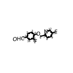 O=Cc1ccc(OCc2ccc(F)cn2)c(F)c1